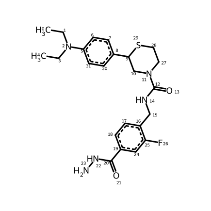 CCN(CC)c1ccc(C2CN(C(=O)NCc3ccc(C(=O)NN)cc3F)CCS2)cc1